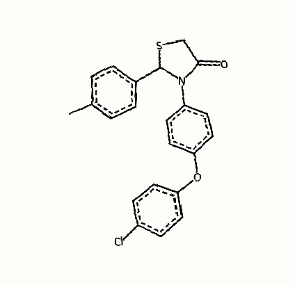 Cc1ccc(C2SCC(=O)N2c2ccc(Oc3ccc(Cl)cc3)cc2)cc1